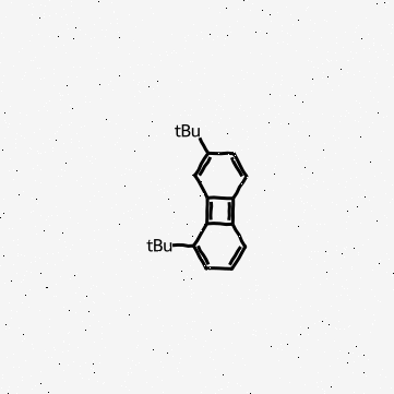 CC(C)(C)c1ccc2c(c1)=c1c(C(C)(C)C)cccc1=2